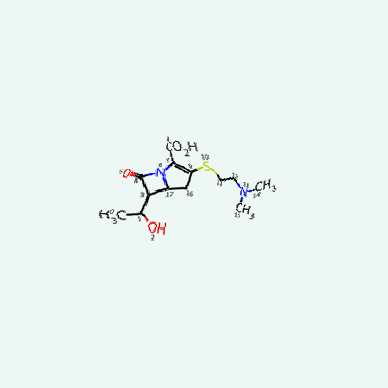 CC(O)C1C(=O)N2C(C(=O)O)=C(SCCN(C)C)CC12